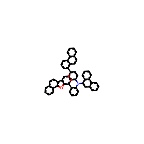 c1ccc(N(c2ccc(-c3cccc4c3ccc3ccccc34)cc2)c2cc3ccccc3c3ccccc23)c(-c2cccc3c2oc2c4ccccc4ccc32)c1